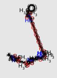 COc1cc2c(cc1OCCCCCOc1cc3c(cc1OC)C(=O)N1C=C(C4CC4)C[C@@H]1C=N3)N=C[C@H]1CC(c3ccc(NC(=O)[C@@H](C)NC(=O)[C@H](NC(=O)CCOCCOCCOCCOCCOCCOCCOCCOCCNC(=O)CCN4C(=O)CC(SC(C)(C)C5CCCCCCCCCCCC5)C4=O)C(C)C)cc3)=CN1C2=O